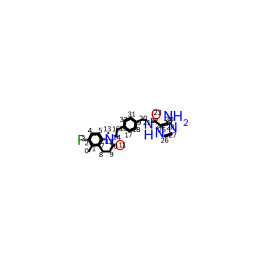 Cc1c(F)ccc2c1CCC(=O)[N+]2(C)CCc1ccc(CNC(=O)c2nccnc2N)cc1